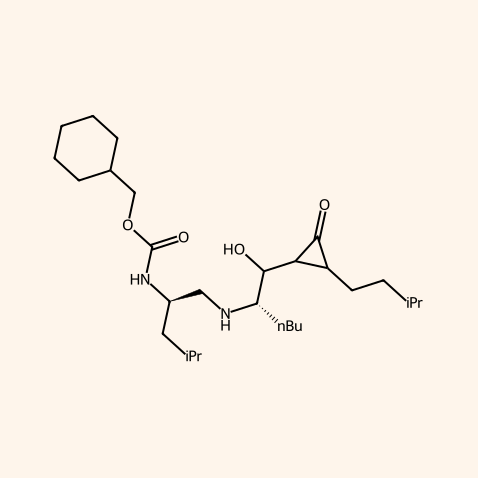 CCCC[C@H](NC[C@@H](CC(C)C)NC(=O)OCC1CCCCC1)C(O)C1C(=O)C1CCC(C)C